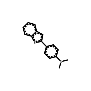 CN(C)c1ccc(-c2cc3ccccc3s2)cc1